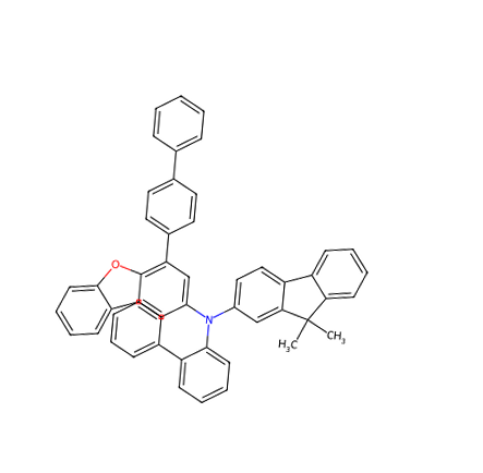 CC1(C)c2ccccc2-c2ccc(N(c3cc(-c4ccc(-c5ccccc5)cc4)c4oc5ccccc5c4c3)c3ccccc3-c3ccccc3)cc21